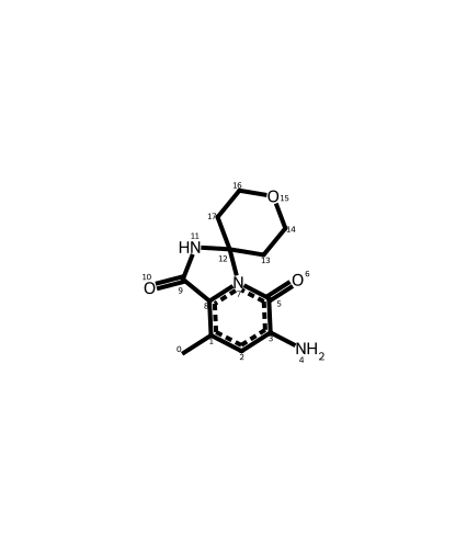 Cc1cc(N)c(=O)n2c1C(=O)NC21CCOCC1